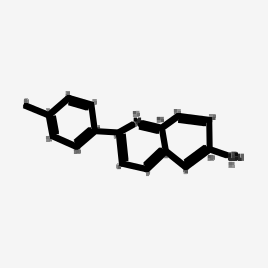 Cc1ccc(-c2ccc3cc(C(C)(C)C)ccc3n2)cc1